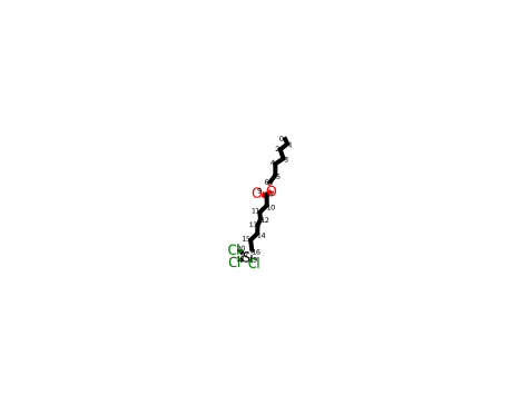 CCCCCCCOC(=O)CCCCCCC[Si](Cl)(Cl)Cl